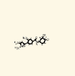 Cn1nc(-c2ccc(C(=O)Nc3ccc(Cl)c(C(F)(F)F)c3)cc2O)cc1C(F)(F)F